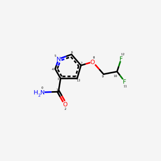 NC(=O)c1cncc(OCC(F)F)c1